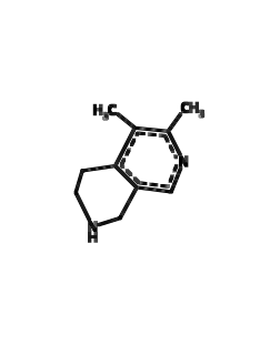 Cc1ncc2c(c1C)CCNC2